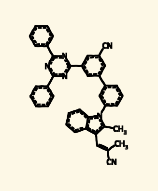 C/C(C#N)=C\c1c(C)n(-c2cccc(-c3cc(C#N)cc(-c4nc(-c5ccccc5)nc(-c5ccccc5)n4)c3)c2)c2ccccc12